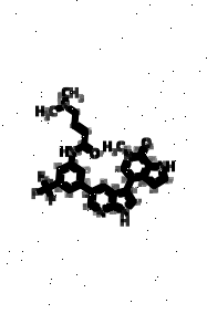 CN(C)C/C=C/C(=O)Nc1cc(-c2cnc3[nH]cc(-c4cn(C)c(=O)c5[nH]ccc45)c3c2)cc(C(F)(F)F)c1